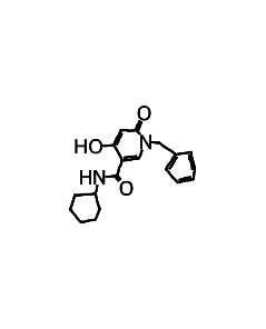 O=C(NC1CCCCC1)c1cn(Cc2ccccc2)c(=O)cc1O